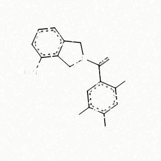 Cc1cc(C(=O)N2Cc3cccc(N)c3C2)c(O)cc1O